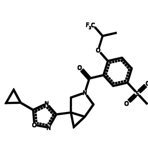 CC(Oc1ccc(S(C)(=O)=O)cc1C(=O)N1CC2CC2(c2noc(C3CC3)n2)C1)C(F)(F)F